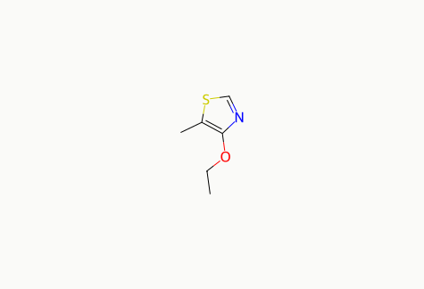 CCOc1ncsc1C